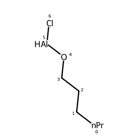 CCCCCC[O][AlH][Cl]